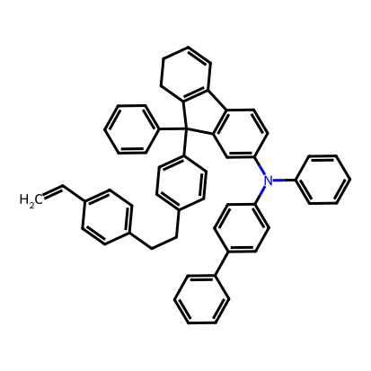 C=Cc1ccc(CCc2ccc(C3(c4ccccc4)C4=C(C=CCC4)c4ccc(N(c5ccccc5)c5ccc(-c6ccccc6)cc5)cc43)cc2)cc1